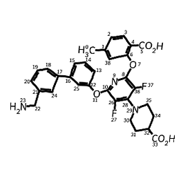 Cc1ccc(C(=O)O)c(Oc2nc(Oc3cccc(-c4cccc(CN)c4)c3)c(F)c(N3CCC(C(=O)O)CC3)c2F)c1